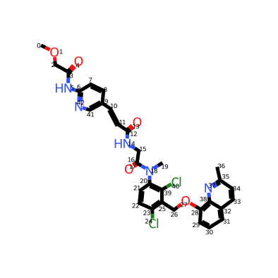 COCC(=O)Nc1ccc(C=CC(=O)NCC(=O)N(C)c2ccc(Cl)c(COc3cccc4ccc(C)nc34)c2Cl)cn1